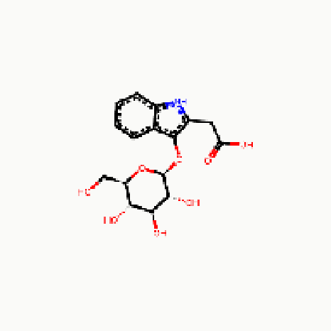 O=C(O)Cc1[nH]c2ccccc2c1O[C@@H]1O[C@H](CO)[C@@H](O)[C@H](O)[C@H]1O